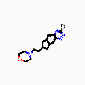 CCc1nnc2cc3c(cc2n1)CC(CCN1CCOCC1)C3